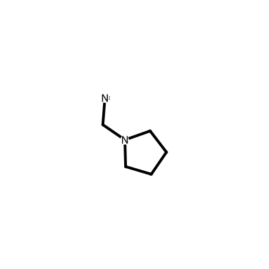 [N]CN1CCCC1